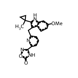 COc1ccc2c(Cc3cccc(-c4noc(=O)[nH]4)n3)c(C3(C)CC3)[nH]c2c1